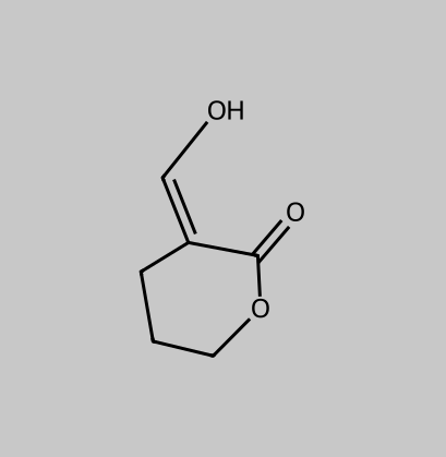 O=C1OCCCC1=CO